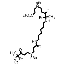 CCCCN(CCC(=O)OCC)CCC(=O)C(C)(CC)NCCCCCCNC(=O)CCN(CCCC)CCC(=O)C(C)(CC)OCC